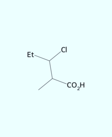 CCC(Cl)C(C)C(=O)O